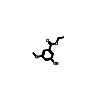 CCOC(=O)c1cc(O)cc(OC)c1